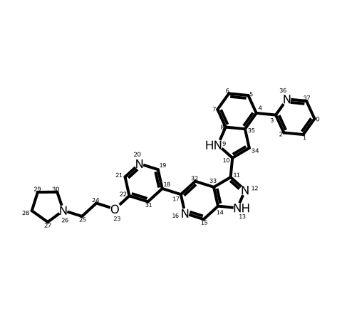 c1ccc(-c2cccc3[nH]c(-c4n[nH]c5cnc(-c6cncc(OCCN7CCCC7)c6)cc45)cc23)nc1